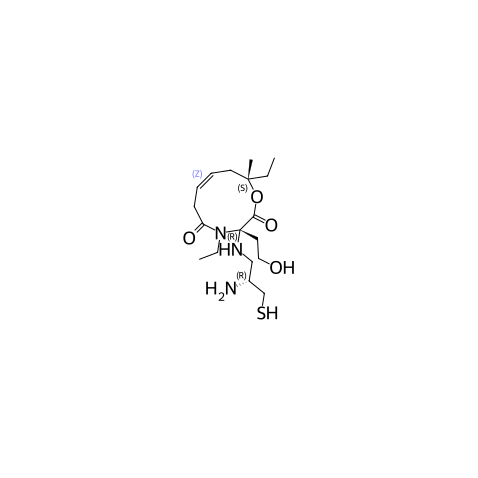 CCN1C(=O)C/C=C\C[C@](C)(CC)OC(=O)[C@]1(CCO)NC[C@@H](N)CS